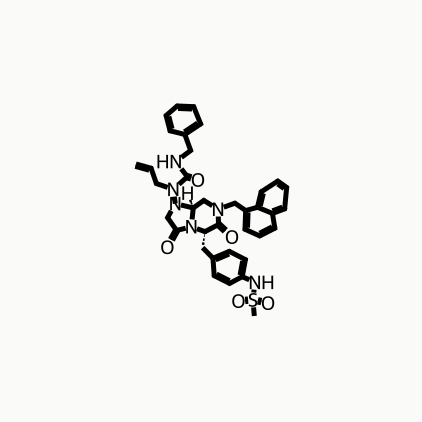 C=CCN(C(=O)NCc1ccccc1)N1CC(=O)N2[C@@H](Cc3ccc(NS(C)(=O)=O)cc3)C(=O)N(Cc3cccc4ccccc34)C[C@@H]21